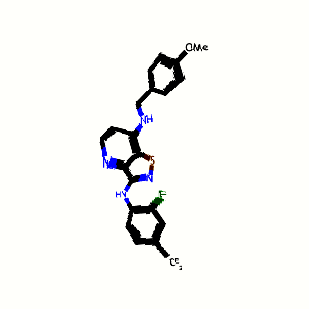 COc1ccc(CNc2ccnc3c(Nc4ccc(C(F)(F)F)cc4F)nsc23)cc1